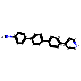 [C-]#[N+]c1ccc(-c2ccc(-c3ccc(-c4ccncc4)cc3)cc2)cc1